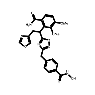 COc1ccc(C(N)=O)c(C(Cc2cscn2)c2nc(Cc3ccc(C(=O)NO)cc3)no2)c1OC